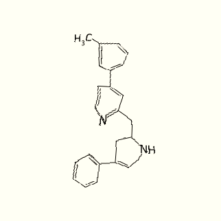 Cc1cccc(-c2ccnc(CC3CC(c4ccccc4)=CCN3)c2)c1